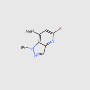 CNc1cc(Br)nc2cnn(C(C)C)c12